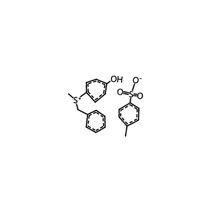 C[S+](Cc1ccccc1)c1ccc(O)cc1.Cc1ccc(S(=O)(=O)[O-])cc1